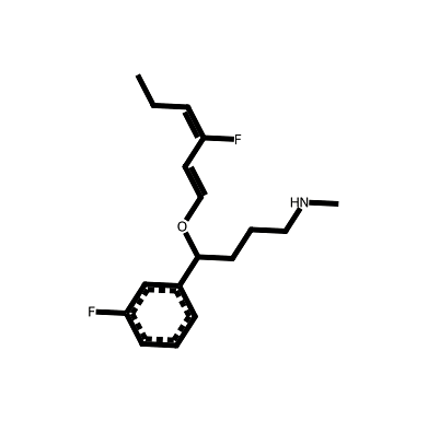 CC/C=C(F)\C=C\OC(CCCNC)c1cccc(F)c1